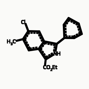 CCOC(=O)c1[nH]c(-c2ccccc2)c2cc(Cl)c(C)cc12